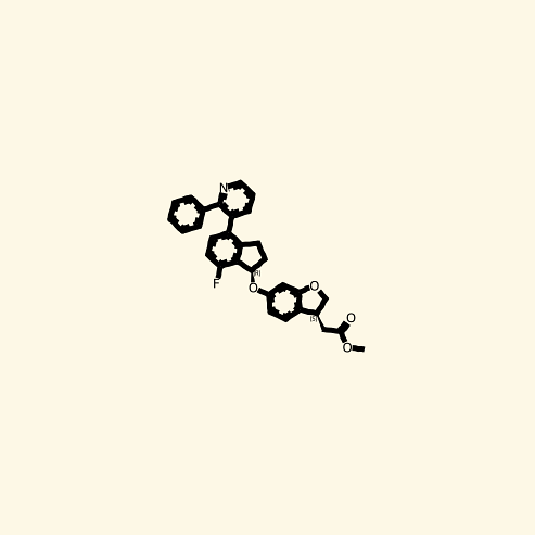 COC(=O)C[C@@H]1COc2cc(O[C@@H]3CCc4c(-c5cccnc5-c5ccccc5)ccc(F)c43)ccc21